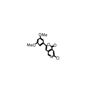 COc1cc(OC)cc(-c2cc3cnc(Cl)cc3c(=O)o2)c1